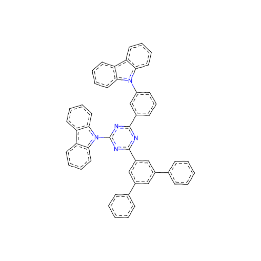 c1ccc(-c2cc(-c3ccccc3)cc(-c3nc(-c4cccc(-n5c6ccccc6c6ccccc65)c4)nc(-n4c5ccccc5c5ccccc54)n3)c2)cc1